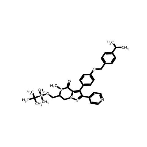 CC(C)c1ccc(COc2ccc(-c3c(-c4ccncc4)nn4c3C(=O)N(C)C(CO[Si](C)(C)C(C)(C)C)C4)cc2)cc1